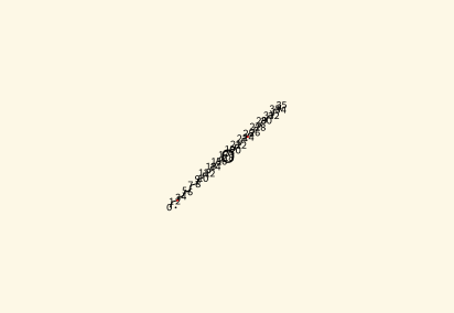 [CH2]CCCCCCCCCCCCCCCCCOCCCCCCCCCCCCCCCC[CH2]